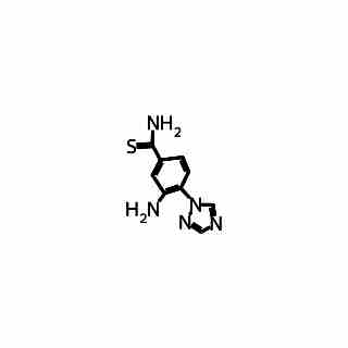 NC(=S)c1ccc(-n2cncn2)c(N)c1